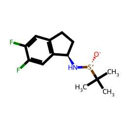 CC(C)(C)[S@@+]([O-])N[C@@H]1CCc2cc(F)c(F)cc21